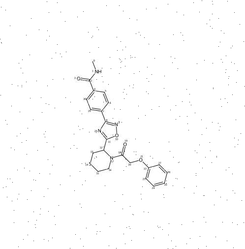 CNC(=O)c1ccc(-c2noc(C3CSCCN3C(=O)COc3ccccc3)n2)cc1